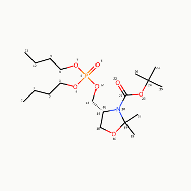 CCCCOP(=O)(OCCCC)OC[C@H]1COC(C)(C)N1C(=O)OC(C)(C)C